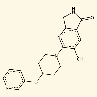 Cc1cc2c(nc1N1CCC(Oc3cccnc3)CC1)CNC2=O